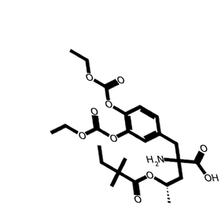 CCOC(=O)Oc1ccc(CC(N)(C[C@H](C)OC(=O)C(C)(C)CC)C(=O)O)cc1OC(=O)OCC